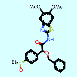 CC[S+]([O-])c1ccc(C(OCc2ccccc2)C(=O)Nc2nc3cc(OC)c(OC)cc3s2)cc1